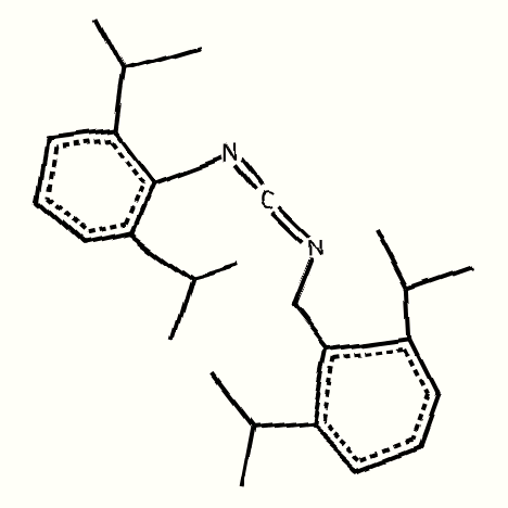 CC(C)c1cccc(C(C)C)c1CN=C=Nc1c(C(C)C)cccc1C(C)C